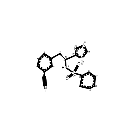 N#Cc1cccc(C[C@H](NS(=O)(=O)c2ccccc2)c2nnco2)c1